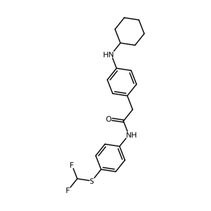 O=C(Cc1ccc(NC2CCCCC2)cc1)Nc1ccc(SC(F)F)cc1